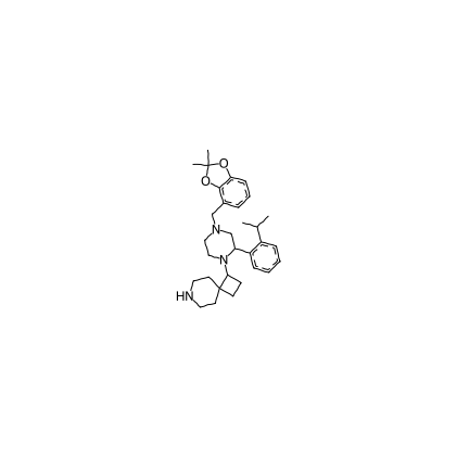 CC(C)c1ccccc1C1CN(Cc2cccc3c2OC(C)(C)O3)CCN1C1CCC12CCNCC2